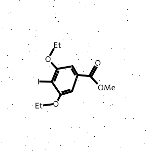 CCOc1cc(C(=O)OC)cc(OCC)c1I